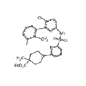 CCOC(=O)C1(C)CCN(c2cccc(S(=O)(=O)Nc3ccc(Cl)c(-c4cccc(F)c4C)n3)n2)CC1